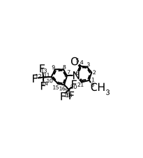 Cc1ccc(=O)n(-c2ccc(C(F)(F)F)cc2C(F)(F)F)c1